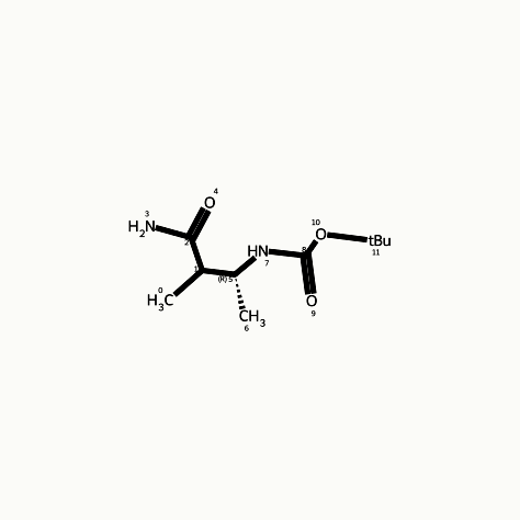 CC(C(N)=O)[C@@H](C)NC(=O)OC(C)(C)C